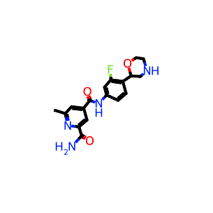 Cc1cc(C(=O)Nc2ccc(C3CNCCO3)c(F)c2)cc(C(N)=O)n1